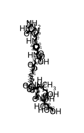 C[C@@H](CCC(=O)O)N[C@@H](CCC(=O)NCC(O)[C@@H](O)C[C@H](O)CO)C(=O)N[C@@H](CSSCCOC(=O)CC[C@H](NC(=O)c1ccc(NCc2cnc3nc(N)[nH]c(=O)c3n2)cc1)C(=O)O)C(=O)O